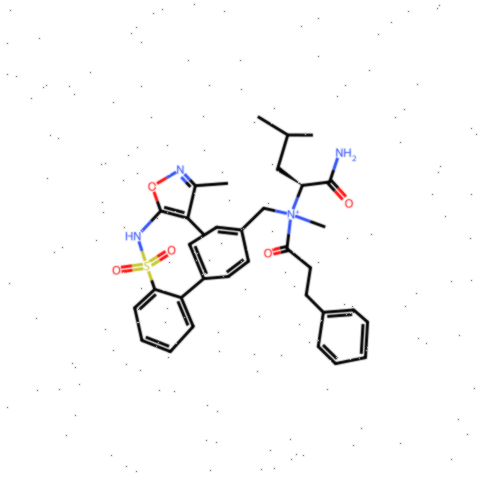 Cc1noc(NS(=O)(=O)c2ccccc2-c2ccc(C[N+](C)(C(=O)CCc3ccccc3)[C@@H](CC(C)C)C(N)=O)cc2)c1C